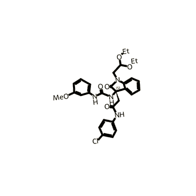 CCOC(CN1C(=O)[C@@](CC(=O)Nc2ccc(Cl)cc2)(NC(=O)Nc2cccc(OC)c2)c2ccccc21)OCC